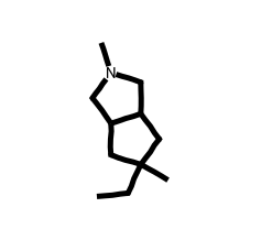 CCC1(C)CC2CN(C)CC2C1